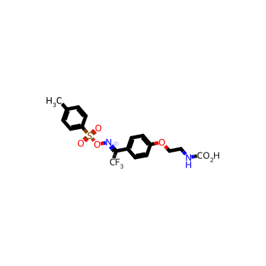 Cc1ccc(S(=O)(=O)O/N=C(/c2ccc(OCCNC(=O)O)cc2)C(F)(F)F)cc1